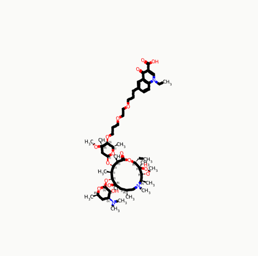 CC[C@H]1OC(=O)[C@H](C)[C@@H](O[C@H]2C[C@@](C)(OC)[C@@H](OCCCOCCOCCCc3ccc4c(c3)c(=O)c(C(=O)O)cn4CC)[C@H](C)O2)[C@H](C)[C@@H](O[C@@H]2O[C@H](C)C[C@H](N(C)C)[C@H]2O)[C@](C)(O)C[C@@H](C)CN(C)[C@H](C)[C@@H](OC)[C@]1(C)O